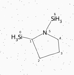 [SiH3]C1CCCN1[SiH3]